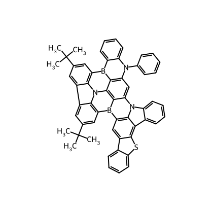 CC(C)(C)c1cc2c3c(c1)c1cc(C(C)(C)C)cc4c1n3-c1c3c(cc5c1B4c1cc4c6ccccc6sc4c4c6ccccc6n-5c14)N(c1ccccc1)c1ccccc1B32